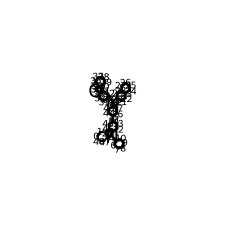 C1=Cc2c(n(-c3ccccc3)c3ccc(-c4ccc(N(c5ccc6ccccc6c5)c5ccc6oc7ccccc7c6c5)cc4)cc23)CC1